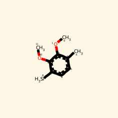 COc1c(C)ccc([SiH3])c1OC